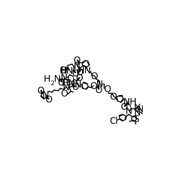 Cc1sc2c(c1C)C(c1ccc(Cl)cc1)=N[C@@H](CC(=O)Nc1ccc(OCCOCCN(CCOCCNc3cccc4c3C(=O)N(C3CCC(=O)NC3=O)C4=O)C(=O)OCc3ccc(NC(=O)[C@H](CCCNC(N)=O)NC(=O)[C@@H](NC(=O)CCCCCN4C(=O)C=CC4=O)C(C)C)cc3)cc1)c1nnc(C)n1-2